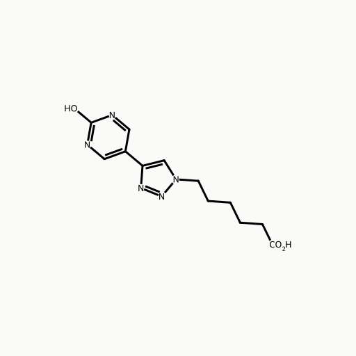 O=C(O)CCCCCn1cc(-c2cnc(O)nc2)nn1